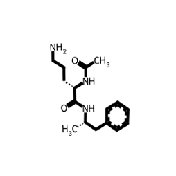 CC(=O)N[C@@H](CCCN)C(=O)N[C@@H](C)Cc1ccccc1